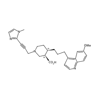 COc1ccc2nccc(CCC[C@@H]3CCN(CC#Cc4nccn4C)C[C@@H]3C(=O)O)c2c1